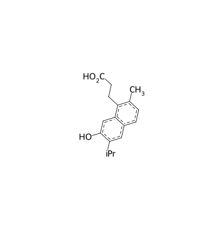 Cc1ccc2cc(C(C)C)c(O)cc2c1CCC(=O)O